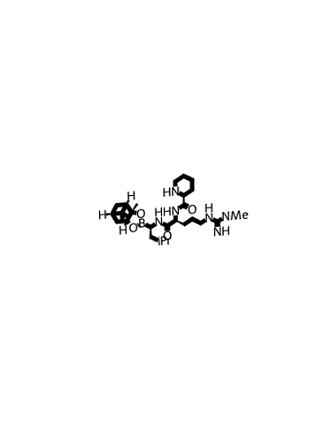 CNC(=N)NCCC[C@H](NC(=O)[C@@H]1CCCCN1)C(=O)N[C@@H](CC(C)C)B1O[C@@H]2C[C@@H]3C[C@@H](C3(C)C)[C@]2(C)O1